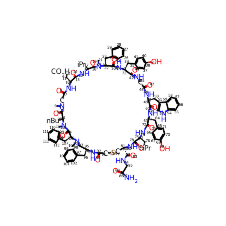 CCCC[C@H]1C(=O)N(C)CC(=O)N[C@@H](CC(=O)O)C(=O)N[C@@H](C(C)C)C(=O)N(C)[C@@H](Cc2ccccc2)C(=O)N[C@@H](Cc2ccc(O)cc2)C(=O)NCC(=O)N[C@@H](Cc2c[nH]c3ccccc23)C(=O)N[C@@H](Cc2ccc(O)cc2)C(=O)N[C@@H](CC(C)C)C(=O)N[C@H](C(=O)NCC(N)=O)CSCC(=O)N[C@@H](Cc2ccccc2)CN(C)[C@@H](Cc2ccccc2)C(=O)N1C